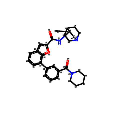 O=C(N[C@@H]1CN2CCC1CC2)c1cc2cccc(-c3cccc(C(=O)N4CCCCC4)c3)c2o1